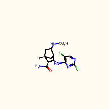 NC(=O)[C@H]1[C@@H]2CC(NC(=O)O)C(C2)[C@H]1Nc1nc(Cl)ncc1F